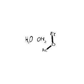 CCOC(C)=O.O.O